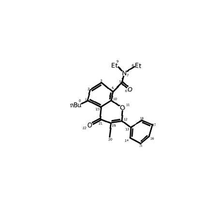 CCCCc1ccc(C(=O)N(CC)CC)c2oc(-c3ccccc3)c(C)c(=O)c12